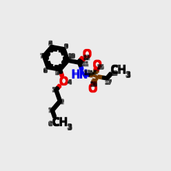 CCCCOc1ccccc1C(=O)NS(=O)(=O)CC